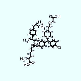 CC(C)Cc1ccc(C(C)C(=O)O)cc1.NCCCC[C@H](N)C(=O)O.O=C(O)COCCN1CCN(C(c2ccccc2)c2ccc(Cl)cc2)CC1